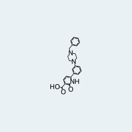 O=C(O)c1ccc(-c2cccc(N3CCN(Cc4ccccc4)CC3)c2)[nH]c1=O